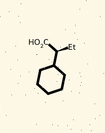 CC[C@H](C(=O)O)C1CCCCC1